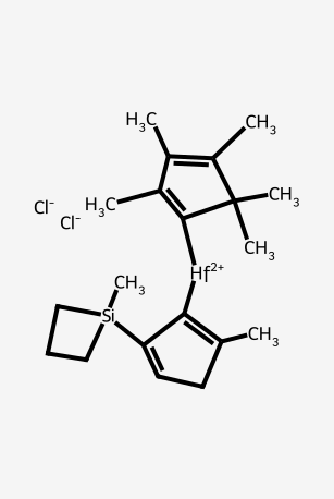 CC1=[C]([Hf+2][C]2=C(C)C(C)=C(C)C2(C)C)C([Si]2(C)CCC2)=CC1.[Cl-].[Cl-]